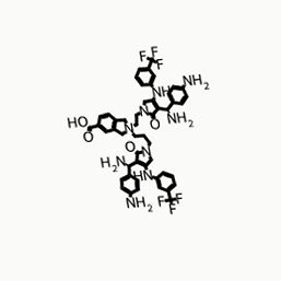 Nc1ccc([C@@H](N)C2=C(Nc3cccc(C(F)(F)F)c3)CN(CCC[N+]3(CCN4CC(Nc5cccc(C(F)(F)F)c5)=C([C@H](N)c5ccc(N)cc5)C4=O)Cc4ccc(C(=O)O)cc4C3)C2=O)cc1